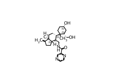 C=C1CC[C@H]2[C@H](CNC(=O)c3cnccn3)[C@@H]([C@]3(C)CC[C@H](O)C[C@@H]3CO)CC[C@]12C